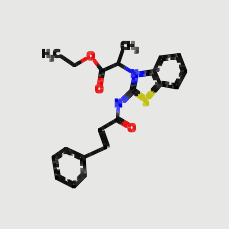 CCOC(=O)C(C)n1c(=NC(=O)/C=C/c2ccccc2)sc2ccccc21